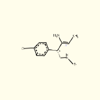 C/C=C(\N)[C@H](CNC(C)C)c1ccc(Cl)cc1